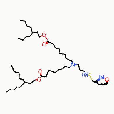 CCCCCC(CCCCC)CCOC(=O)CCCCCCCN(CCCCCCCC(=O)OCCC(CCCC)CCCC)CCCNSCc1ccon1